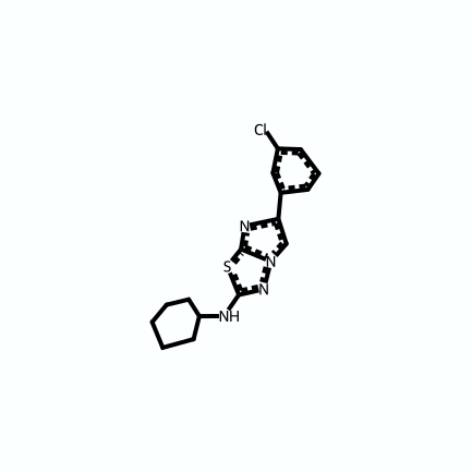 Clc1cccc(-c2cn3nc(NC4CCCCC4)sc3n2)c1